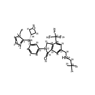 Cn1cnnc1[C@@H](c1cccc(N2Cc3c(cc(CNCC(C)(C)C)cc3C(F)(F)F)C2=O)c1)C1COC1